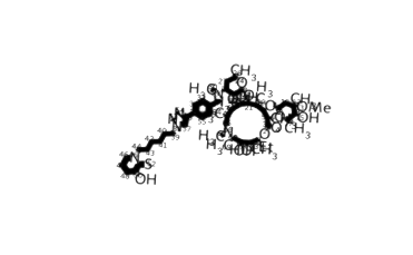 CC[C@H]1OC(=O)[C@H](C)[C@@H](O[C@H]2C[C@@](C)(OC)[C@@H](O)[C@H](C)O2)[C@H](C)[C@@H](O[C@@H]2O[C@H](C)C[C@H](N(C)Cc3ccc(-c4cn(CCCCCCn5cccc(O)c5=S)nn4)cc3)[C@H]2O)[C@](C)(O)C[C@@H](C)CN(C)[C@H](C)[C@@H](O)[C@]1(C)O